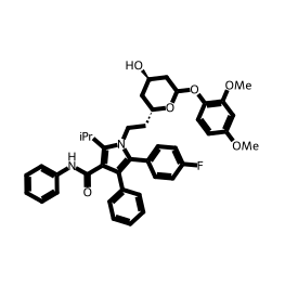 COc1ccc(OC2C[C@H](O)C[C@@H](CCn3c(-c4ccc(F)cc4)c(-c4ccccc4)c(C(=O)Nc4ccccc4)c3C(C)C)O2)c(OC)c1